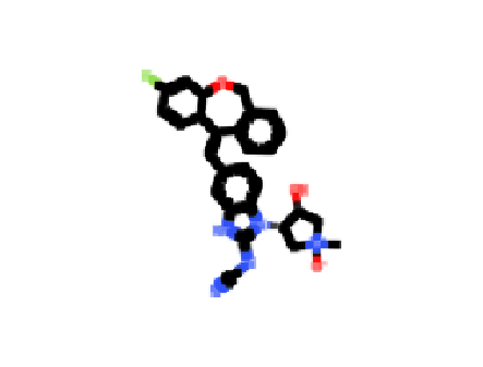 C[N+]1([O-])C[C@H](O)[C@@H](n2/c(=N/C#N)[nH]c3cc(/C=C4\c5ccccc5COC5C=C(F)C=CC45)ccc32)C1